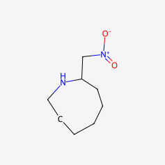 O=[N+]([O-])CC1CCCCCCN1